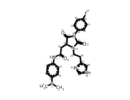 CN(C)c1ccc(NC(=O)CC2C(=O)N(c3ccc(F)cc3)C(=O)N2CCc2c[nH]cn2)cc1